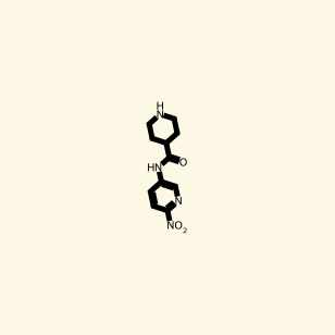 O=C(Nc1ccc([N+](=O)[O-])nc1)C1CCNCC1